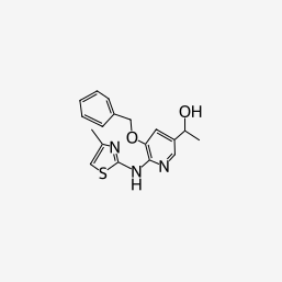 Cc1csc(Nc2ncc(C(C)O)cc2OCc2ccccc2)n1